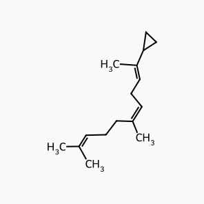 CC(C)=CCCC(C)=CCC=C(C)C1CC1